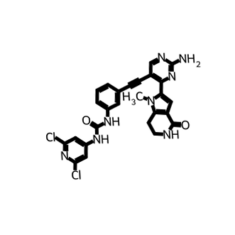 Cn1c(-c2nc(N)ncc2C#Cc2cccc(NC(=O)Nc3cc(Cl)nc(Cl)c3)c2)cc2c1CCNC2=O